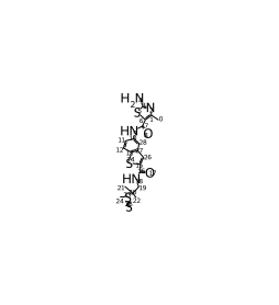 Cc1nc(N)sc1C(=O)Nc1ccc2sc(C(=O)NCC(C)(C)S(C)=S)cc2c1